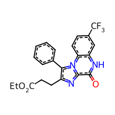 CCOC(=O)CCc1nc2c(=O)[nH]c3cc(C(F)(F)F)ccc3n2c1-c1ccccc1